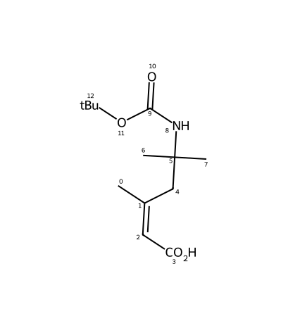 CC(=CC(=O)O)CC(C)(C)NC(=O)OC(C)(C)C